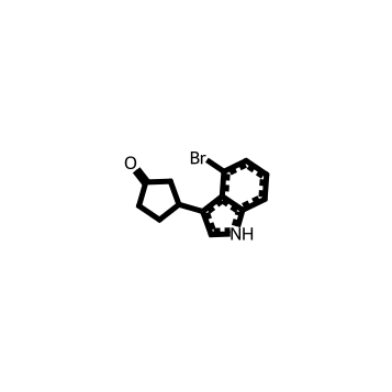 O=C1CCC(c2c[nH]c3cccc(Br)c23)C1